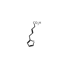 O=C(O)CC=CCc1cccs1